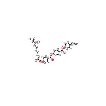 C=CC(=O)OCCCCOC(=O)Oc1ccc(C(=O)Oc2ccc(C(=O)Oc3ccc(OC(C)=O)cc3)cc2)cc1